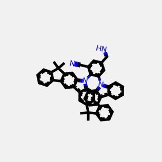 CC1(C)c2ccccc2-c2cc3c(cc21)c1cc2c(cc1n3-c1c(C#N)cc(C=N)cc1-n1c3ccccc3c3ccccc31)C(C)(C)c1ccccc1-2